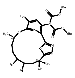 [2H]C1CC[C@@H](C)Oc2nc(c(N(C(=O)OC(C)(C)C)C(=O)OC(C)(C)C)cc2C(F)(F)F)-c2nnc(o2)[C@@](O)(C(F)(F)F)CC1[2H]